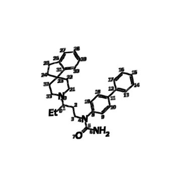 CCC(CCN(C(N)=O)c1ccc(-c2ccccc2)cc1)N1CCC2(CCc3ccccc32)CC1